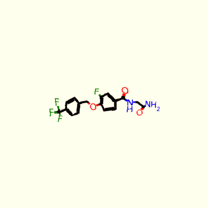 NC(=O)CNC(=O)c1ccc(OCc2ccc(C(F)(F)F)cc2)c(F)c1